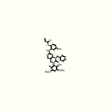 C=CC(=O)Sc1ccc(O)cc1Nc1ncc2c(n1)N(Cc1ccccc1)C(=O)N(c1c(C)c(OC)cc(OC)c1O)C2